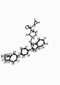 O=C(C1CC1)N1CCC(Cn2c(-c3ccc(-c4ccc5cc[nH]c5c4)cc3)nc3ccccc32)C1